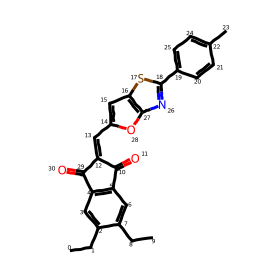 CCc1cc2c(cc1CC)C(=O)C(=Cc1cc3sc(-c4ccc(C)cc4)nc3o1)C2=O